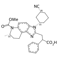 COC(=O)N1c2ccc3c(nc(CC(C(=O)O)c4ccccc4)n3[C@H]3CCC[C@@H](C#N)C3)c2CC[C@@H]1C